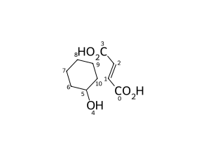 O=C(O)C=CC(=O)O.OC1CCCCC1